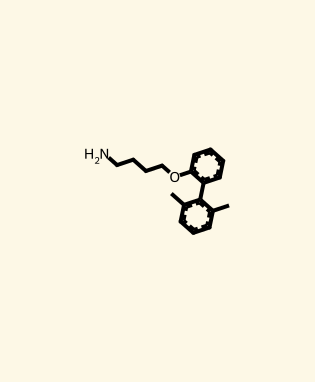 Cc1cccc(C)c1-c1ccccc1OCCCCN